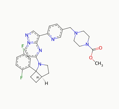 COC(=O)N1CCN(Cc2ccc(-c3cnn4ccc(N5CC[C@H]6CCC65c5cc(F)ccc5F)nc34)nc2)CC1